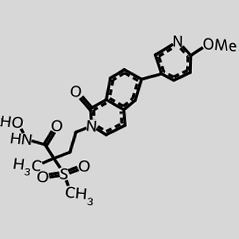 COc1ccc(-c2ccc3c(=O)n(CCC(C)(C(=O)NO)S(C)(=O)=O)ccc3c2)cn1